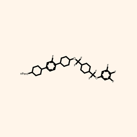 CCCCCC1CCC(c2ccc(C3CCC(OC(F)(F)C4CCC(C(F)(F)Oc5cc(F)c(F)c(F)c5)CC4)CC3)c(F)c2)CC1